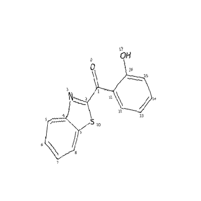 O=C(c1nc2ccccc2s1)c1ccccc1O